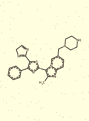 Cc1nc2ccc(CN3CCNCC3)cn2c1-c1nc(-c2ccccc2)c(C2=NCC=N2)s1